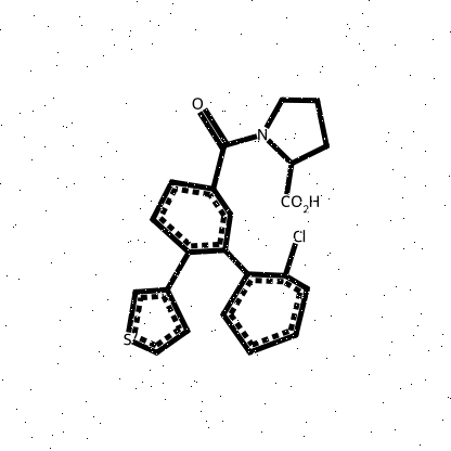 O=C(O)C1CCCN1C(=O)c1ccc(-c2ccsc2)c(-c2ccccc2Cl)c1